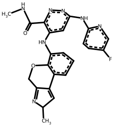 CNC(=O)c1nnc(Nc2ccc(F)cn2)cc1Nc1cccc2c1OCC1=NC(C)C=C12